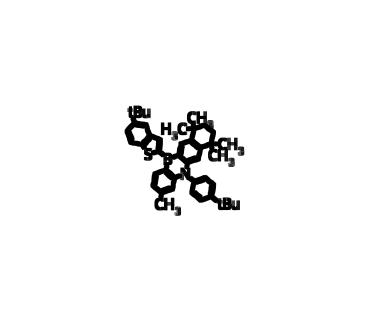 Cc1ccc2c(c1)N(c1ccc(C(C)(C)C)cc1)c1cc3c(cc1B2c1cc2cc(C(C)(C)C)ccc2s1)C(C)(C)CCC3(C)C